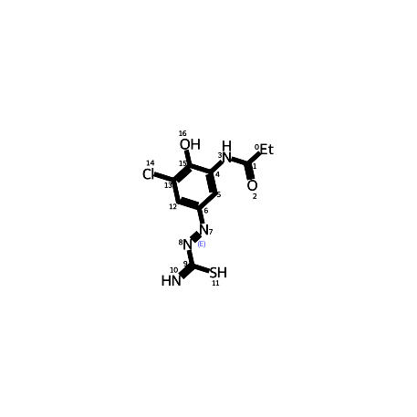 CCC(=O)Nc1cc(/N=N/C(=N)S)cc(Cl)c1O